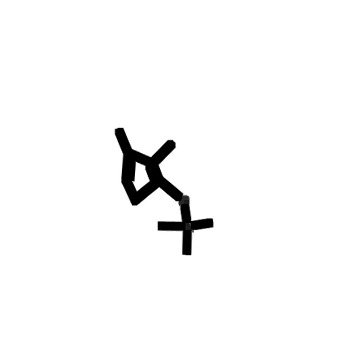 CC1=CCC(O[Si](C)(C)C)=C1C